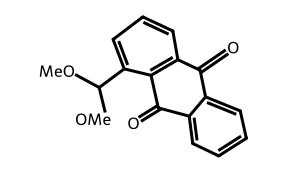 COC(OC)c1cccc2c1C(=O)c1ccccc1C2=O